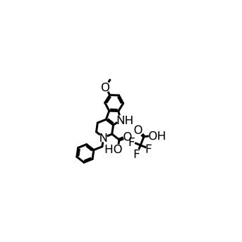 COc1ccc2[nH]c3c(c2c1)CCN(Cc1ccccc1)C3C(=O)O.O=C(O)C(F)(F)F